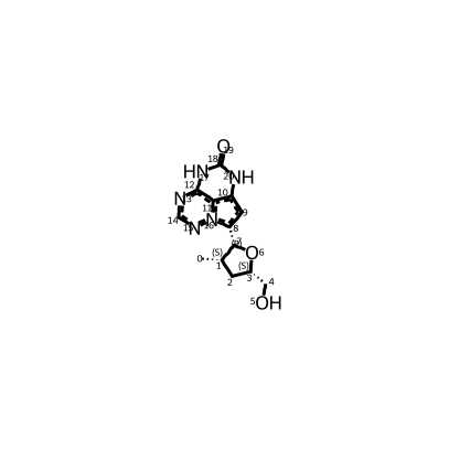 C[C@H]1C[C@@H](CO)O[C@H]1c1cc2c3c(ncnn13)NC(=O)N2